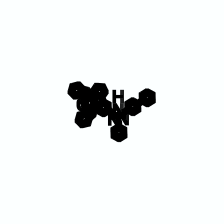 c1ccc(C2=NC(c3ccc(-c4ccccc4)cc3)NC(c3ccc4c(c3)-c3ccccc3C43c4ccc5ccccc5c4Oc4c3ccc3ccccc43)=N2)cc1